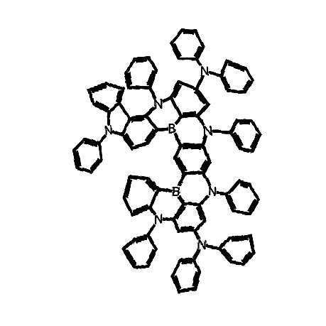 c1ccc(N(c2ccccc2)c2cc3c4c(c2)N(c2ccccc2)c2cc5c(cc2B4c2ccccc2N3c2ccccc2)B2c3ccc4c(c3N(c3ccccc3)c3cc(N(c6ccccc6)c6ccccc6)cc(c32)N5c2ccccc2)c2ccccc2n4-c2ccccc2)cc1